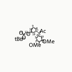 COc1ccc(C(C(C)=O)c2cccc(OCC(=O)OC(C)(C)C)c2)cc1OC